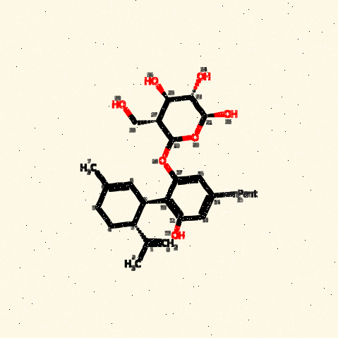 C=C(C)[C@@H]1CCC(C)=C[C@H]1c1c(O)cc(CCCCC)cc1OC1O[C@H](O)[C@@H](O)[C@H](O)[C@H]1CO